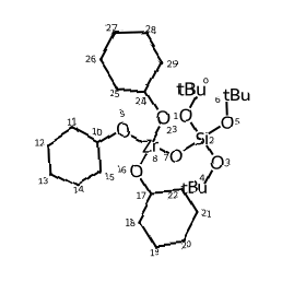 CC(C)(C)O[Si](OC(C)(C)C)(OC(C)(C)C)[O][Zr]([O]C1CCCCC1)([O]C1CCCCC1)[O]C1CCCCC1